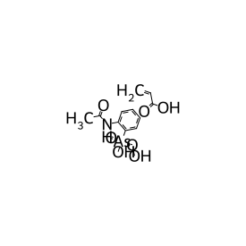 C=CC(=O)O.CC(=O)Nc1ccccc1[As](=O)(O)OO